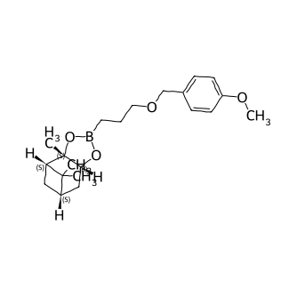 COc1ccc(COCCCB2O[C@@H]3C[C@@H]4C[C@@H](C4(C)C)[C@]3(C)O2)cc1